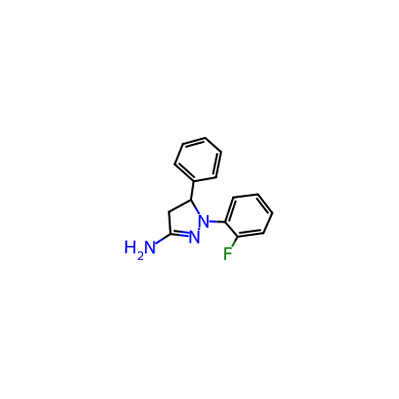 NC1=NN(c2ccccc2F)C(c2ccccc2)C1